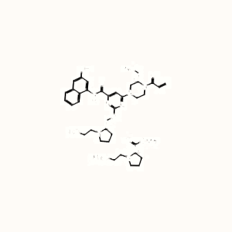 C=CC(=O)N1CCN(c2cc(C(=O)Nc3cc(O)cc4ccccc34)nc(OC[C@@H]3CCCN3CCO)n2)C[C@@H]1CC#N.COCCN1CCC[C@H]1C(=O)OC